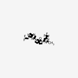 Cc1nc(N2CCC3(CCN(c4cnc5cnn(CC(F)F)c5n4)C3)C2=O)cc(C(F)(F)F)n1